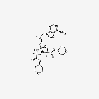 C[C@H](Cn1cnc2c(N)ncnc21)OCP(=O)(NC(C)(C)C(=O)OC1CCOCC1)NC(C)(C)C(=O)OC1CCOCC1